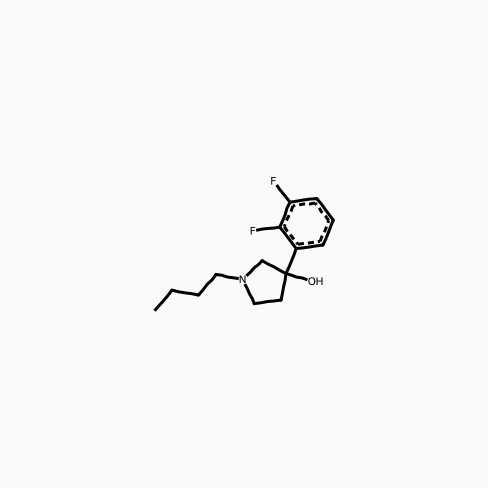 CCCCN1CCC(O)(c2cccc(F)c2F)C1